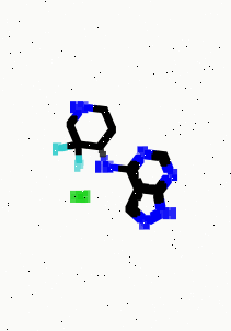 Cl.FC1(F)CNCC[C@@H]1Nc1ncnc2[nH]ncc12